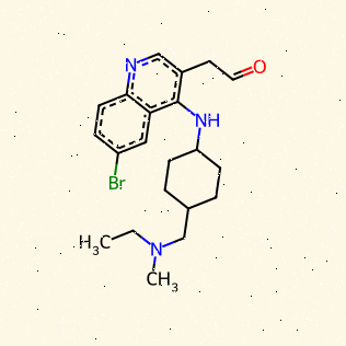 CCN(C)CC1CCC(Nc2c(CC=O)cnc3ccc(Br)cc23)CC1